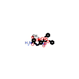 COc1cc2c(c(C(N)=O)c1)C/C=C/Cc1cc([N+](=O)[O-])c([C@H](CC(=O)OCc3ccccc3)C(=O)OCc3ccccc3)cc1C(=O)O2